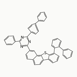 c1ccc(-c2ccc(-c3nc(-c4ccccc4)nc(-c4ccc5ccc6c7cccc(-c8ccccc8-c8ccccc8)c7sc6c5c4)n3)cc2)cc1